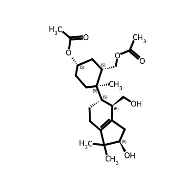 CC(=O)OC[C@H]1C[C@@H](OC(C)=O)CC[C@]1(C)[C@H]1CCC2=C(C[C@@H](O)C2(C)C)[C@@H]1CO